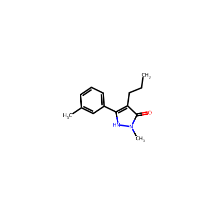 CCCc1c(-c2cccc(C)c2)[nH]n(C)c1=O